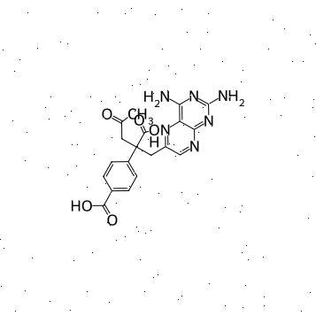 CC(=O)CC(Cc1cnc2nc(N)nc(N)c2n1)(C(=O)O)c1ccc(C(=O)O)cc1